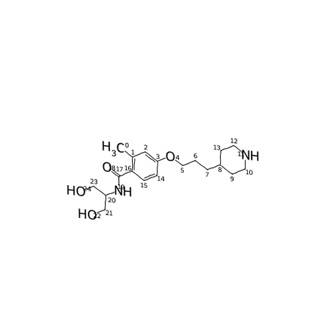 Cc1cc(OCCCC2CCNCC2)ccc1C(=O)NC(CO)CO